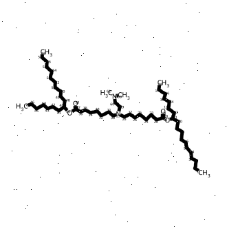 CCCCCCCCCCCC(CCCCCCC)OC(=O)CCCCCCCN(CCCCCCCC(=O)OC(CCCCCCC)CCCCCCCCCCC)CCN(C)C